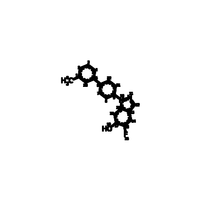 Cc1cccc(-c2ccc(-n3ncc4cc(F)c(O)cc43)cc2)c1